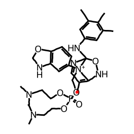 CC1=C2NOC(Nc3cc(C)c(C)c(C)c3)(N=C1)[N+]2(COP(=O)(OCCN(C)C)OCCN(C)C)c1ccc2c(c1)NCO2